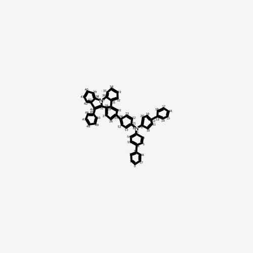 c1ccc(-c2ccc(N(c3ccc(-c4ccccc4)cc3)c3ccc(-c4ccc5c(c4)c4ccccc4n4c6ccccc6c(-c6ccccc6)c54)cc3)cc2)cc1